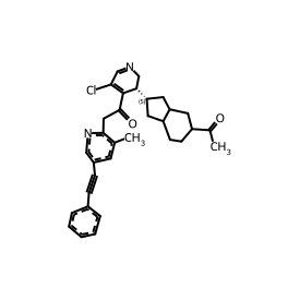 CC(=O)C1CCC2C[C@H](C3CN=CC(Cl)=C3C(=O)Cc3ncc(C#Cc4ccccc4)cc3C)CC2C1